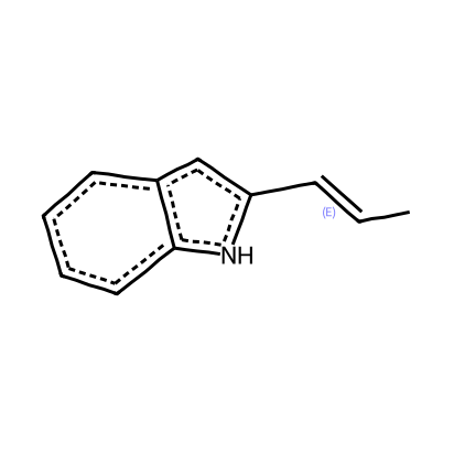 C/C=C/c1cc2ccccc2[nH]1